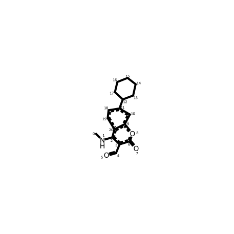 CNc1c(C=O)c(=O)oc2cc(C3CCCCC3)ccc12